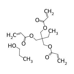 C=CC(=O)OCC(CC)(COC(=O)C=C)COC(=O)C=C.CCCO